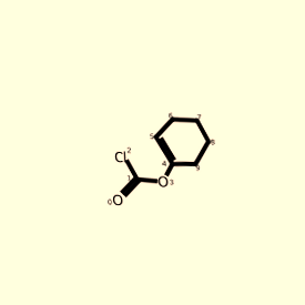 O=C(Cl)OC1=CCCCC1